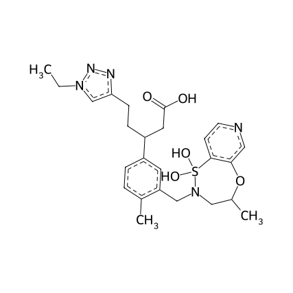 CCn1cc(CCC(CC(=O)O)c2ccc(C)c(CN3CC(C)Oc4cnccc4S3(O)O)c2)nn1